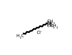 CCCCCCCCCCCCCCCC[N+](C)(C)CC.[Cl-]